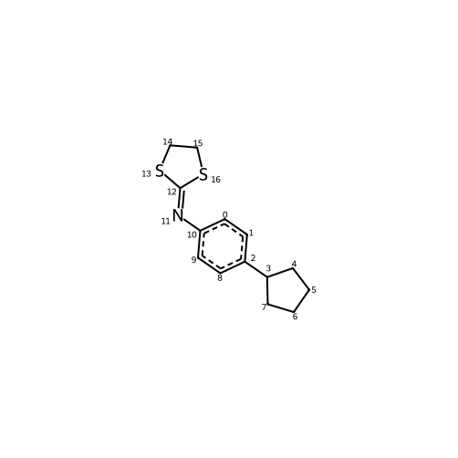 c1cc(C2CCCC2)ccc1N=C1SCCS1